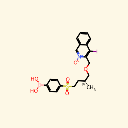 C[C@H](CCS(=O)(=O)c1ccc(B(O)O)cc1)COCc1c(I)c2ccccc2c[n+]1[O-]